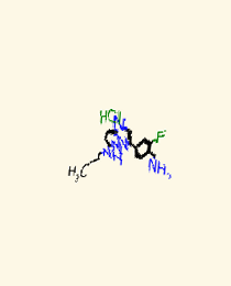 CCCCNc1ccc2ncc(-c3ccc(CN)c(F)c3)n2n1.Cl